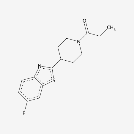 CCC(=O)N1CCC(c2nc3ccc(F)cc3s2)CC1